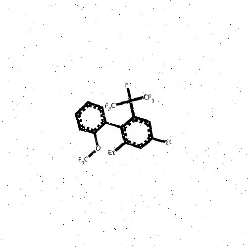 CCc1[c]c(CC)c(-c2ccccc2OC(F)(F)F)c(C(F)(C(F)(F)F)C(F)(F)F)c1